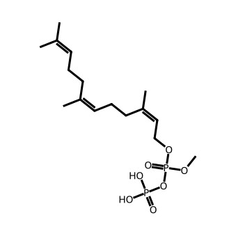 COP(=O)(OCC=C(C)CCC=C(C)CCC=C(C)C)OP(=O)(O)O